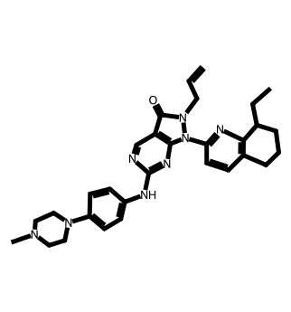 C=CCn1c(=O)c2cnc(Nc3ccc(N4CCN(C)CC4)cc3)nc2n1-c1ccc2c(n1)C(CC)CCC2